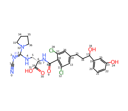 N#C/N=C(\NC[C@H](NC(=O)c1c(Cl)cc(CCC(O)c2cccc(O)c2)cc1Cl)C(=O)O)N1CCCC1